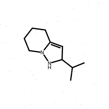 CC(C)C1C=C2CCCCN2N1